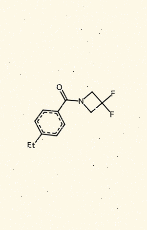 CCc1ccc(C(=O)N2CC(F)(F)C2)cc1